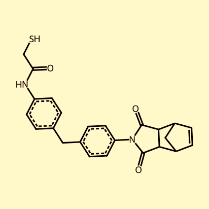 O=C(CS)Nc1ccc(Cc2ccc(N3C(=O)C4C5C=CC(C5)C4C3=O)cc2)cc1